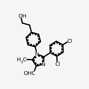 Cc1c(C=O)nc(-c2ccc(Cl)cc2Cl)n1-c1ccc(CCO)cc1